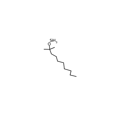 CCCCCCCCC(C)(C)O[SiH3]